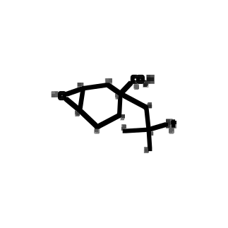 CCC(C)(C)CC1(C(=O)O)CCC2OC2C1